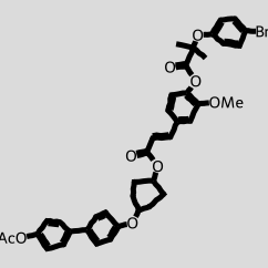 COc1cc(C=CC(=O)OC2CCC(Oc3ccc(-c4ccc(OC(C)=O)cc4)cc3)CC2)ccc1OC(=O)C(C)(C)Oc1ccc(Br)cc1